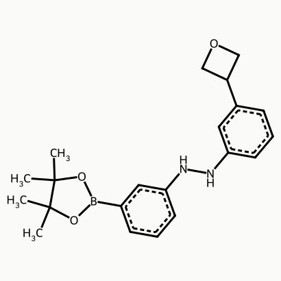 CC1(C)OB(c2cccc(NNc3cccc(C4COC4)c3)c2)OC1(C)C